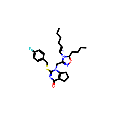 CCCC/C=C/N1C(Cn2c(SCc3ccc(F)cc3)nc(=O)c3c2CCC3)=NOC1CCCC